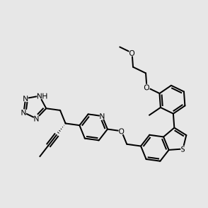 CC#C[C@H](Cc1nnn[nH]1)c1ccc(OCc2ccc3scc(-c4cccc(OCCOC)c4C)c3c2)nc1